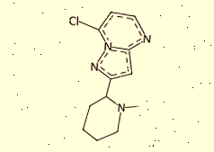 CN1CCCCC1c1cc2nccc(Cl)n2n1